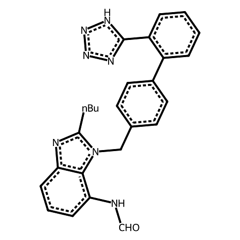 CCCCc1nc2cccc(NC=O)c2n1Cc1ccc(-c2ccccc2-c2nnn[nH]2)cc1